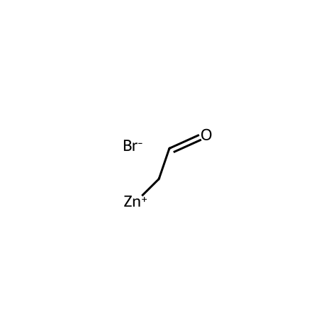 O=C[CH2][Zn+].[Br-]